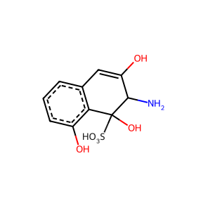 NC1C(O)=Cc2cccc(O)c2C1(O)S(=O)(=O)O